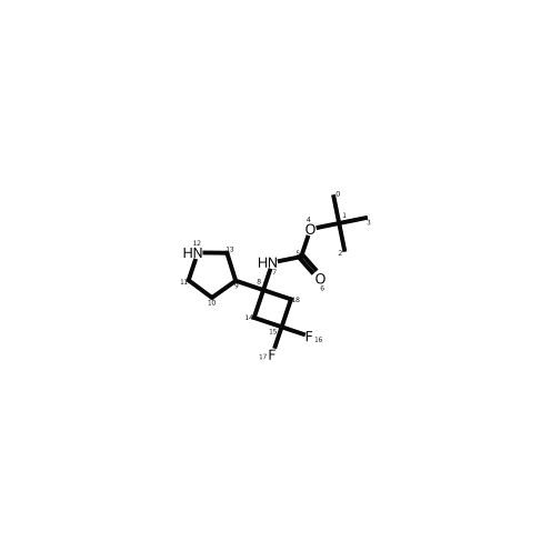 CC(C)(C)OC(=O)NC1(C2CCNC2)CC(F)(F)C1